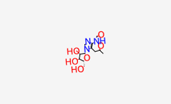 CC(=O)Cc1c(NC=O)ncn1[C@@H]1O[C@H](CO)[C@@H](O)[C@H]1O